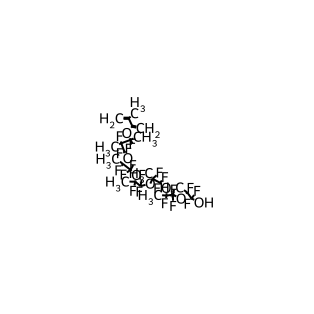 C=C(C)C(=C)OC(C)(F)C(C)(F)C(F)(F)OC(C)(F)C(F)(F)OC(C)(F)C(F)(F)OC(C)(F)C(F)(F)OC(C)(F)C(F)(F)OC(C)(F)C(O)(F)F